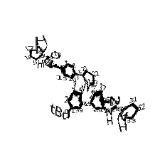 CC(C)(C)c1ccc(N2[C@@H](c3ccc(NC(=O)[C@@H]4CCCN4)cc3)CC[C@@H]2c2ccc3[nH]c([C@@H]4CCCN4)nc3c2)cc1